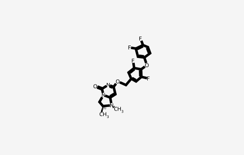 C[C@H]1Cn2c(cc(OCc3cc(F)c(Oc4ccc(F)c(F)c4)c(F)c3)nc2=O)N1C